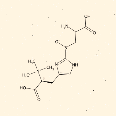 C[N+](C)(C)[C@@H](Cc1c[nH]c([S+]([O-])CC(N)C(=O)O)n1)C(=O)O